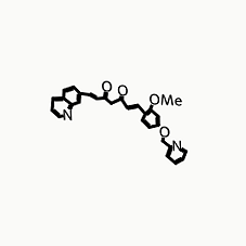 COc1cc(OCc2ccccn2)ccc1C=CC(=O)CC(=O)C=Cc1ccc2cccnc2c1